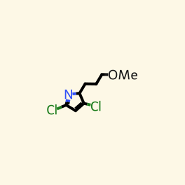 COCCCC1N=C(Cl)C=C1Cl